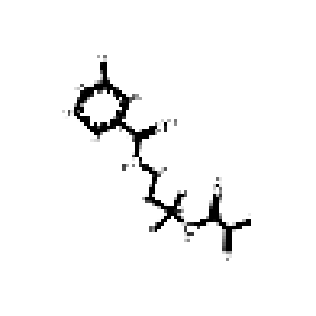 C=C(C)C(=O)OC(C)(C)CCOC(=O)c1cccc(C)c1